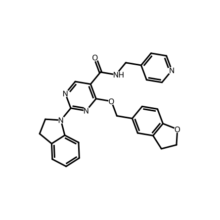 O=C(NCc1ccncc1)c1cnc(N2CCc3ccccc32)nc1OCc1ccc2c(c1)CCO2